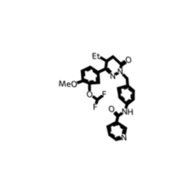 CCC1CC(=O)N(Cc2ccc(NC(=O)c3cccnc3)cc2)N=C1c1ccc(OC)c(OC(F)F)c1